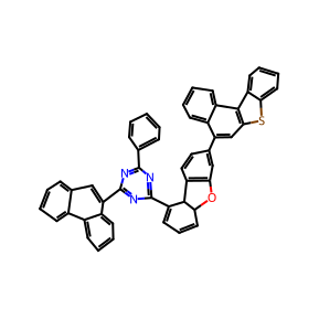 C1=CC2Oc3cc(-c4cc5sc6ccccc6c5c5ccccc45)ccc3C2C(c2nc(-c3ccccc3)nc(-c3cc4ccccc4c4ccccc34)n2)=C1